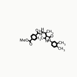 COC(=O)c1ccc(C(=O)NNC(C)=C2C(=O)N(c3ccc(C)c(C)c3)N=C2C)cc1